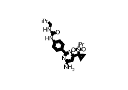 CC(C)CNC(=O)Nc1ccc(-c2nc(N)cc(C3(S(=O)(=O)C(C)C)CC3)n2)cc1